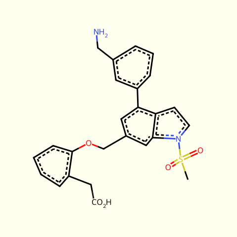 CS(=O)(=O)n1ccc2c(-c3cccc(CN)c3)cc(COc3ccccc3CC(=O)O)cc21